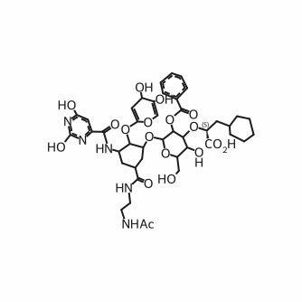 CC(=O)NCCNC(=O)C1CC(NC(=O)c2cc(O)nc(O)n2)C(OC2=CC(O)C(O)=CO2)C(OC2OC(CO)C(O)C(O[C@@H](CC3CCCCC3)C(=O)O)C2OC(=O)c2ccccc2)C1